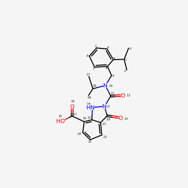 CC(C)c1ccccc1CN(C(=O)n1[nH]c2c(C(=O)O)cccc2c1=O)C(C)C